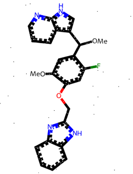 COc1cc(C(OC)c2c[nH]c3ncccc23)c(F)cc1OCc1nc2ccccc2[nH]1